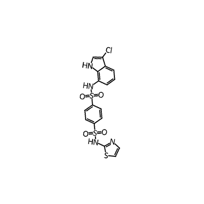 O=S(=O)(Nc1nccs1)c1ccc(S(=O)(=O)Nc2cccc3c(Cl)c[nH]c23)cc1